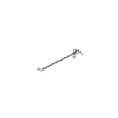 CCCCCCCCCCCCCCCCCCCCCCCCNC(C)O